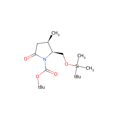 C[C@@H]1CC(=O)N(C(=O)OC(C)(C)C)[C@@H]1CO[Si](C)(C)C(C)(C)C